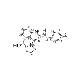 OCC1CCCN1c1cc(NCc2ccc(Cl)cc2)nc2ccccc12